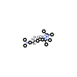 [2H]/C(=C(/[2H])c1ccc2c(c1)C(C)(C)c1cc3c(cc1-2)c(-c1ccccc1)c(-c1ccccc1)n3-c1nc(-c2ccccc2)cc(-c2ccccc2)n1)c1ccc(N(c2ccccc2)c2ccccc2)cc1